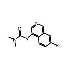 CN(C)C(=O)Sc1cncc2cc(Br)ccc12